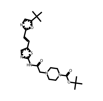 CC(C)(C)OC(=O)N1CCN(CC(=O)Nc2ncc(/C=C/c3ncc(C(C)(C)C)o3)s2)CC1